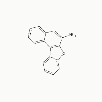 Nc1cc2ccccc2c2c1oc1ccccc12